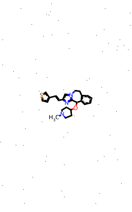 CN1CCC(OC2c3ccccc3CCn3cc(/C=C/c4ccsc4)nc32)CC1